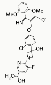 C=C(O)c1cnc(N2CC(O)(c3ccc(OC/C(=C\C4CC4)C(=N)c4c(OC)cccc4OC)cc3Cl)C2)c(F)c1